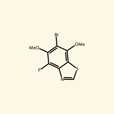 COc1c(Br)c(OC)c2scnc2c1F